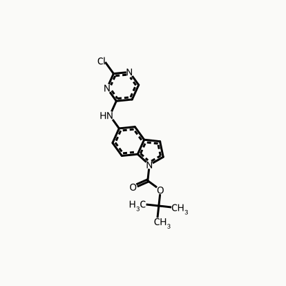 CC(C)(C)OC(=O)n1ccc2cc(Nc3ccnc(Cl)n3)ccc21